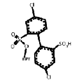 CCCOS(=O)(=O)c1cc(Cl)ccc1-c1ccc(Cl)cc1S(=O)(=O)O